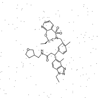 CC[C@@H]1CN(Cc2cc(C(CC(=O)NCC3CCOC3)c3ccc4c(nnn4CC)c3C)ccc2C)S(=O)(=O)c2cccnc2O1